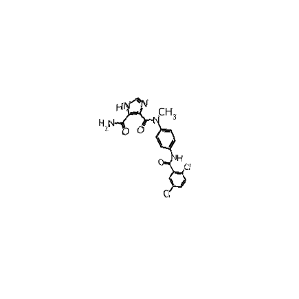 CN(C(=O)c1nc[nH]c1C(N)=O)c1ccc(NC(=O)c2cc(Cl)ccc2Cl)cc1